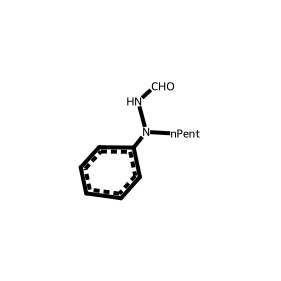 CCCCCN(NC=O)c1ccccc1